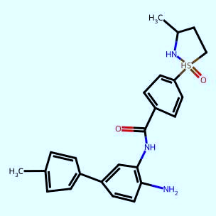 Cc1ccc(-c2ccc(N)c(NC(=O)c3ccc([SH]4(=O)CCC(C)N4)cc3)c2)cc1